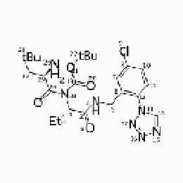 CC[C@@H](C(=O)NCc1cc(Cl)ccc1-n1cnnn1)N(C(=O)OC(C)(C)C)C(=O)[C@H](N)CC(C)(C)C